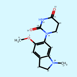 COc1cc2c(cc1N1CCC(=O)NC1=O)N(C)CC2